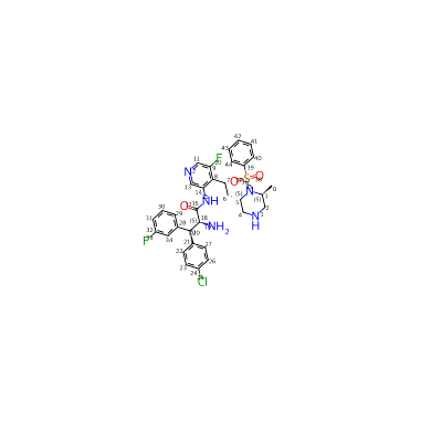 C[C@H]1CNC[C@H](CCc2c(F)cncc2NC(=O)[C@@H](N)[C@@H](c2ccc(Cl)cc2)c2cccc(F)c2)N1S(=O)(=O)c1ccccc1